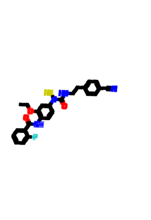 CCOc1cc(N(S)C(=O)NCCc2ccc(C#N)cc2)ccc1NC(=O)c1ccccc1F